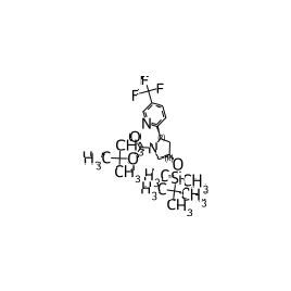 CC(C)(C)OC(=O)N1C[C@H](O[Si](C)(C)C(C)(C)C)C[C@@H]1c1ccc(C(F)(F)F)cn1